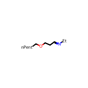 CCCCCCOCCC=NCC